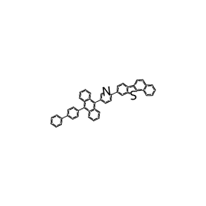 c1ccc(-c2ccc(-c3c4ccccc4c(-c4ccc(-c5ccc6c(c5)sc5c7ccccc7ccc65)nc4)c4ccccc34)cc2)cc1